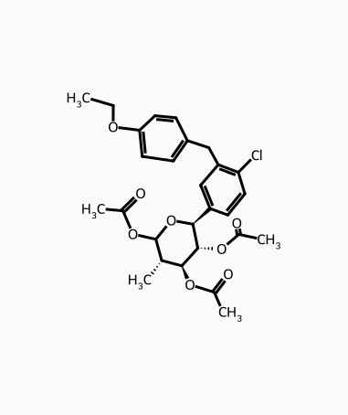 CCOc1ccc(Cc2cc([C@@H]3OC(OC(C)=O)[C@@H](C)[C@H](OC(C)=O)[C@H]3OC(C)=O)ccc2Cl)cc1